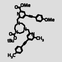 COC(=O)c1cc(C#Cc2ccc(OC)cc2)cc(CN2CCN(Cc3cc(C#Cc4ccc(C)cc4)cc(C)n3)CCN(C(=O)OC(C)(C)C)CC2)n1